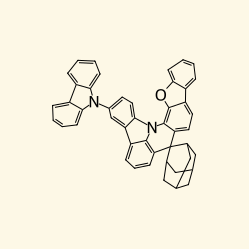 c1ccc2c(c1)oc1c3c(ccc12)C1(c2cccc4c5cc(-n6c7ccccc7c7ccccc76)ccc5n-3c24)C2CC3CC(C2)CC1C3